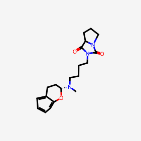 CN(CCCCN1C(=O)C2CCCN2C1=O)[C@H]1CCc2ccccc2O1